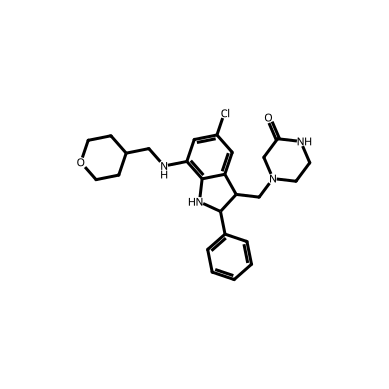 O=C1CN(CC2c3cc(Cl)cc(NCC4CCOCC4)c3NC2c2ccccc2)CCN1